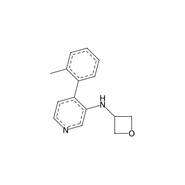 Cc1ccccc1-c1ccncc1NC1COC1